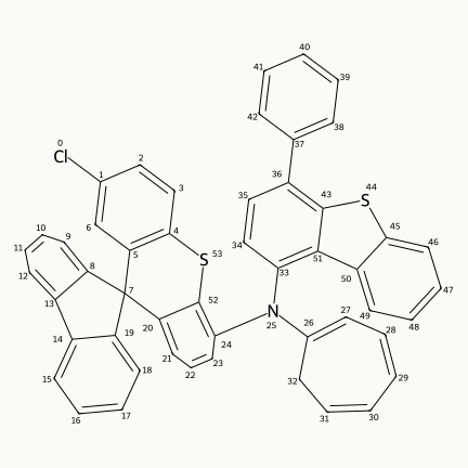 Clc1ccc2c(c1)C1(c3ccccc3-c3ccccc31)c1cccc(N(C3=CC=CC=CC3)c3ccc(-c4ccccc4)c4sc5ccccc5c34)c1S2